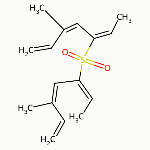 C=C/C(C)=C\C(=C/C)S(=O)(=O)C(/C=C(/C)C=C)=C/C